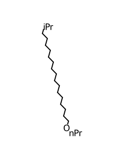 CCCOCCCCCCCCCCCCCCCCC(C)C